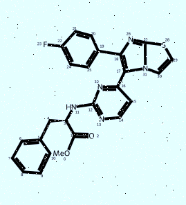 COC(=O)[C@@H](Cc1ccccc1)Nc1nccc(-c2c(-c3ccc(F)cc3)nc3sccn23)n1